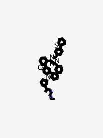 C=C(/C=C\C=C/C)c1cccc(-n2c3ccccc3c3cc4c(cc32)oc2cccc(-c3nc(-c5ccccc5)nc(-c5ccc6c(c5)sc5ccccc56)n3)c24)c1